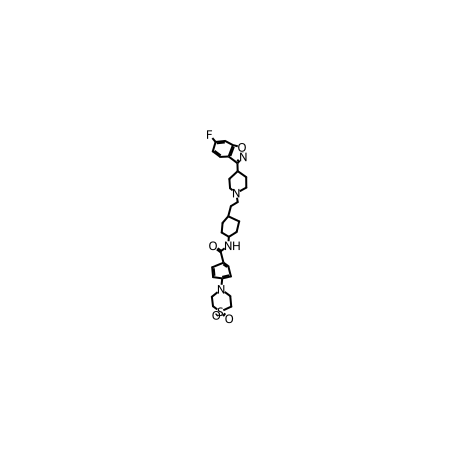 O=C(NC1CCC(CCN2CCC(c3noc4cc(F)ccc34)CC2)CC1)c1ccc(N2CCS(=O)(=O)CC2)cc1